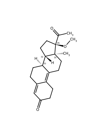 CO[C@]1(C(C)=O)CC[C@H]2[C@@H]3CCC4=CC(=O)CCC4=C3CC[C@@]21C